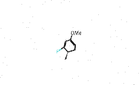 COC1=CC[C@@H](C)C(F)=C1